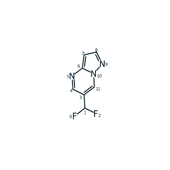 FC(F)c1cnc2[c]cnn2c1